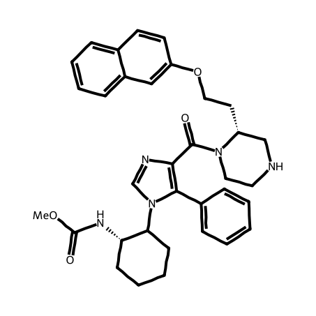 COC(=O)N[C@H]1CCCCC1n1cnc(C(=O)N2CCNC[C@H]2CCOc2ccc3ccccc3c2)c1-c1ccccc1